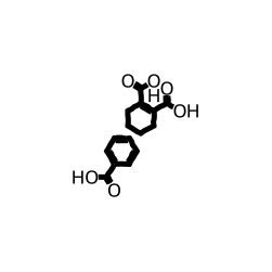 O=C(O)C1=C(C(=O)O)CCCC1.O=C(O)c1ccccc1